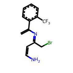 C=C(/N=C(\C=C/N)CBr)c1ccccc1C(F)(F)F